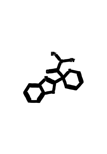 CC(C)N(C(=O)C1(c2nc3ccccc3s2)C=CC=CS1)C(C)C